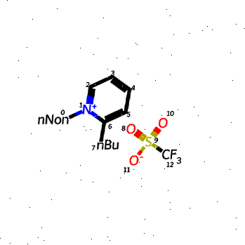 CCCCCCCCC[n+]1ccccc1CCCC.O=S(=O)([O-])C(F)(F)F